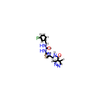 Cc1cnnc(C)c1C(=O)N(C)Cc1csc(NC(=O)NCc2cccc(F)c2)n1